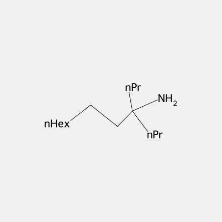 CCCCCCCCC(N)(CCC)CCC